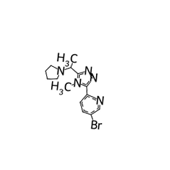 CC(c1nnc(-c2ccc(Br)cn2)n1C)N1CCCC1